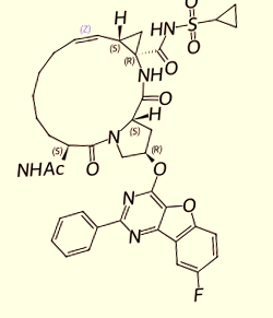 CC(=O)N[C@H]1CCCCC/C=C\[C@@H]2C[C@@]2(C(=O)NS(=O)(=O)C2CC2)NC(=O)[C@@H]2C[C@@H](Oc3nc(-c4ccccc4)nc4c3oc3ccc(F)cc34)CN2C1=O